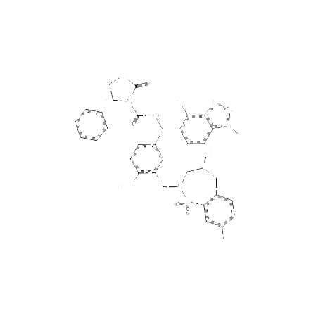 CCn1nnc2c(C)c([C@H](c3ccc(C)c(CN4C[C@@H](C)Cc5ccc(C(F)(F)F)cc5S4(=O)=O)c3)[C@@H](C)C(=O)N3C(=O)OC[C@H]3c3ccccc3)ccc21